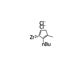 CCCCC1=C(C)CC=[C]1[Zr+2].[Cl-].[Cl-]